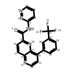 O=C(Nc1cccnn1)c1ccc2nccc(-c3cccc(C(F)(F)F)c3)c2n1